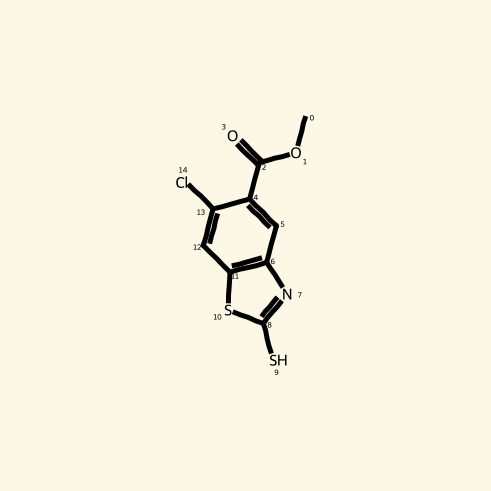 COC(=O)c1cc2nc(S)sc2cc1Cl